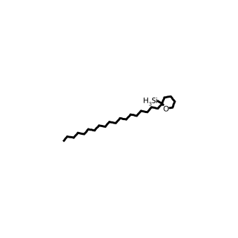 CCCCCCCCCCCCCCCCCCCC1([SiH3])CCCCO1